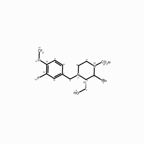 CC(C)(C)C1[C@H](CO)N(Cc2ccc(OC(F)(F)F)c(F)c2)CCN1C(=O)O